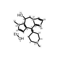 CCO.CN1CCC(=C2c3ccn(C)c3C(O)Cn3ccnc32)CC1